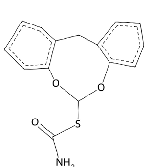 NC(=O)SC1Oc2ccccc2Cc2ccccc2O1